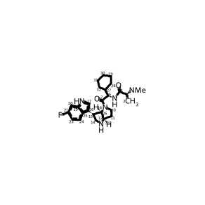 CN[C@@H](C)C(=O)N[C@H](C(=O)N1CC[C@H]2NC[C@H](c3c[nH]c4cc(F)ccc34)[C@H]21)C1CCCCC1